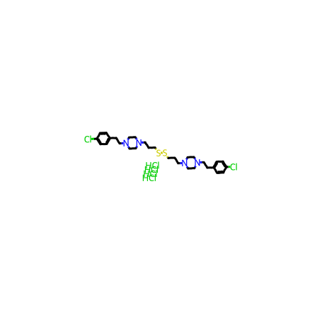 Cl.Cl.Cl.Cl.Clc1ccc(CCN2CCN(CCCSSCCCN3CCN(CCc4ccc(Cl)cc4)CC3)CC2)cc1